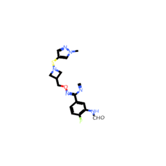 C=N/C(=N\OCC1CN(Sc2cnn(C)c2)C1)c1ccc(F)c(NC=O)c1